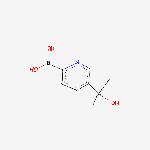 CC(C)(O)c1ccc(B(O)O)nc1